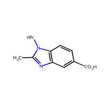 CCCn1c(C)nc2cc(C(=O)O)ccc21